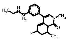 CCN[SiH2]c1cccc(C2=CN(C)C(=O)C3C2=CC(F)CC3C)c1